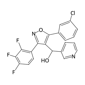 OC(c1cccnc1)c1c(-c2ccc(F)c(F)c2F)noc1-c1cccc(Cl)c1